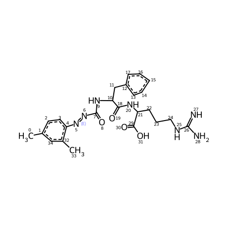 Cc1ccc(/N=N/C(=O)NC(Cc2ccccc2)C(=O)NC(CCCNC(=N)N)C(=O)O)c(C)c1